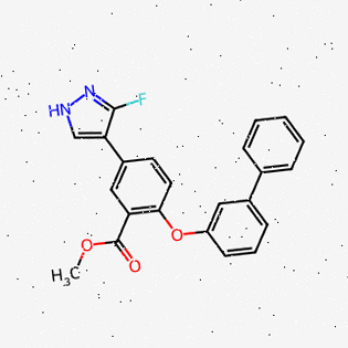 COC(=O)c1cc(-c2c[nH]nc2F)ccc1Oc1cccc(-c2ccccc2)c1